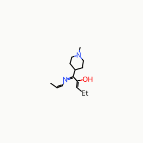 C\C=C/N=C(\C(O)=C\CC)C1CCN(C)CC1